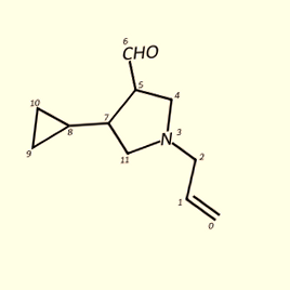 C=CCN1CC(C=O)C(C2CC2)C1